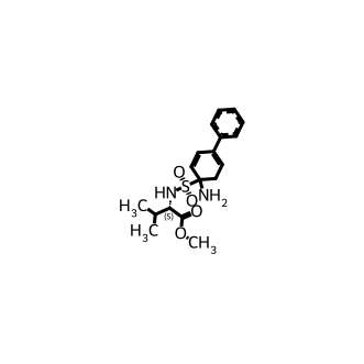 COC(=O)[C@@H](NS(=O)(=O)C1(N)C=CC(c2ccccc2)=CC1)C(C)C